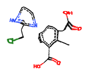 Cc1c(C(=O)O)cccc1C(=O)O.ClCc1ncc[nH]1